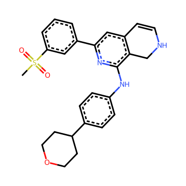 CS(=O)(=O)c1cccc(-c2cc3c(c(Nc4ccc(C5CCOCC5)cc4)n2)CNC=C3)c1